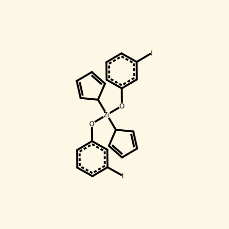 Ic1cccc([O][Zr]([O]c2cccc(I)c2)([CH]2C=CC=C2)[CH]2C=CC=C2)c1